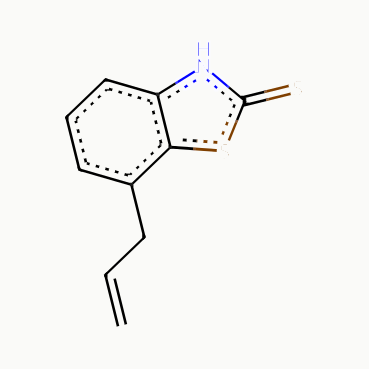 C=CCc1cccc2[nH]c(=S)sc12